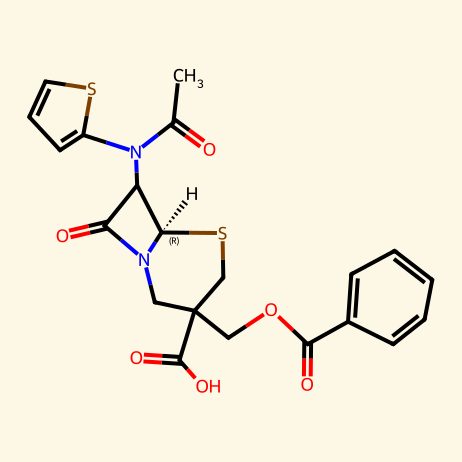 CC(=O)N(c1cccs1)C1C(=O)N2CC(COC(=O)c3ccccc3)(C(=O)O)CS[C@H]12